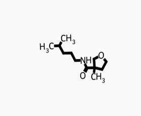 CC(C)CCCNC(=O)C1(C)CCOC1